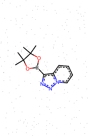 CC1(C)OB(c2nnn3ccccc23)OC1(C)C